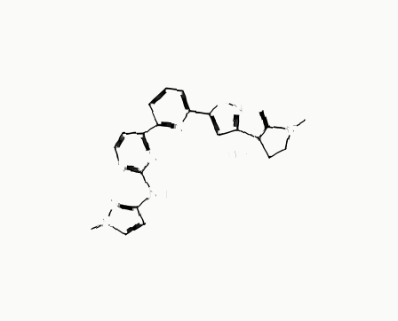 CN1CC[C@@](O)(c2cc(-c3cccc(-c4ccnc(Nc5ccn(C)n5)n4)n3)on2)C1=O